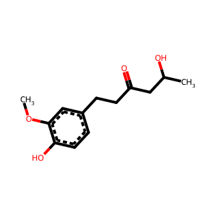 COc1cc(CCC(=O)CC(C)O)ccc1O